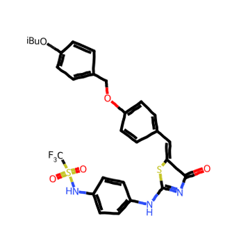 CC(C)COc1ccc(COc2ccc(/C=C3\SC(Nc4ccc(NS(=O)(=O)C(F)(F)F)cc4)=NC3=O)cc2)cc1